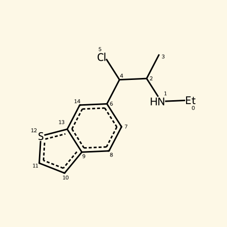 CCNC(C)C(Cl)c1ccc2ccsc2c1